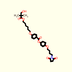 CC(C)(CO)C(=O)OCCCCCCOc1ccc(C(=O)Oc2ccc(OCCCCN3C(=O)C=CC3=O)cc2)cc1